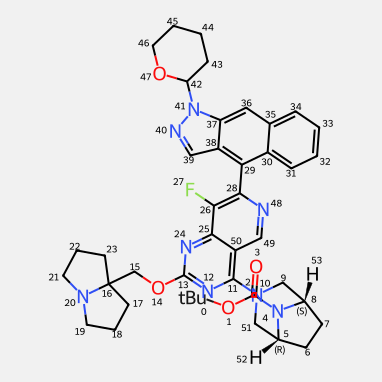 CC(C)(C)OC(=O)N1[C@@H]2CC[C@H]1CN(c1nc(OCC34CCCN3CCC4)nc3c(F)c(-c4c5ccccc5cc5c4cnn5C4CCCCO4)ncc13)C2